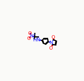 CC(C)(CNc1ccc(N2C(=O)C=CC2=O)cc1)[N+](=O)[O-]